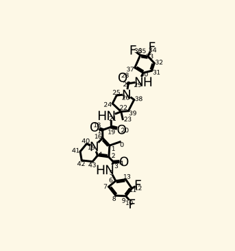 Cc1c(C(=O)Nc2ccc(F)c(F)c2)c2n(c1C(=O)C(=O)NC1(C)CCN(C(=O)Nc3ccc(F)c(F)c3)CC1)CCCC2